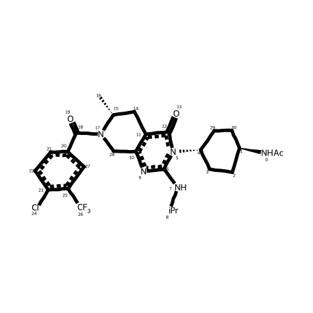 CC(=O)N[C@H]1CC[C@H](n2c(NC(C)C)nc3c(c2=O)C[C@@H](C)N(C(=O)c2ccc(Cl)c(C(F)(F)F)c2)C3)CC1